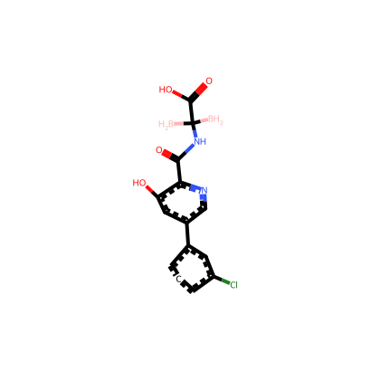 BC(B)(NC(=O)c1ncc(-c2cccc(Cl)c2)cc1O)C(=O)O